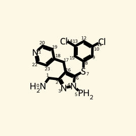 NCc1nn(P)c(Sc2cc(Cl)cc(Cl)c2)c1Cc1ccncc1